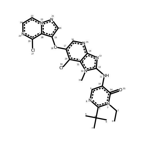 CCn1c(C(C)(C)C)ncc(Nc2nc3ncc(Oc4cnn5ccnc(Cl)c45)c(Cl)c3n2C)c1=O